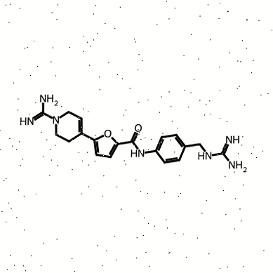 N=C(N)NCc1ccc(NC(=O)c2ccc(C3=CCN(C(=N)N)CC3)o2)cc1